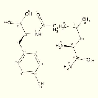 CC(=O)N[C@@H](Cc1ccc(O)cc1)C(=O)O.CC(C)C[C@H](N)C(N)=O